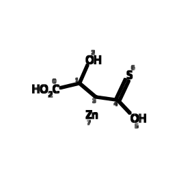 O=C(O)C(O)CC(O)=S.[Zn]